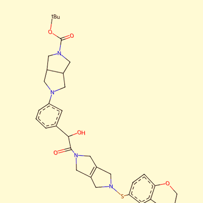 CC(C)(C)OC(=O)N1CC2CN(c3cccc(C(O)C(=O)N4CC5=C(CN(Sc6ccc7c(c6)OCCO7)C5)C4)c3)CC2C1